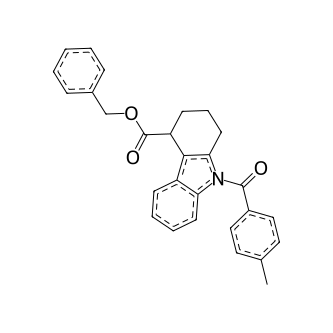 Cc1ccc(C(=O)n2c3c(c4ccccc42)C(C(=O)OCc2ccccc2)CCC3)cc1